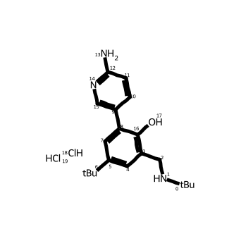 CC(C)(C)NCc1cc(C(C)(C)C)cc(-c2ccc(N)nc2)c1O.Cl.Cl